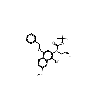 COc1ccc2c(OCc3ccccc3)cc(N(CC=O)C(=O)OC(C)(C)C)c(Br)c2c1